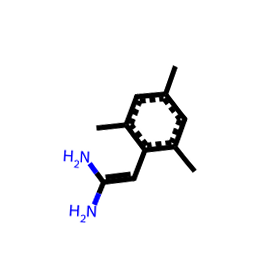 Cc1cc(C)c(C=C(N)N)c(C)c1